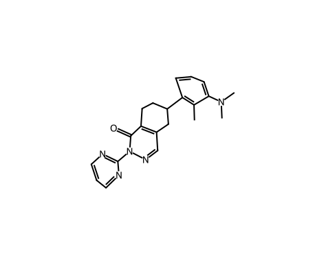 Cc1c(C2CCc3c(cnn(-c4ncccn4)c3=O)C2)cccc1N(C)C